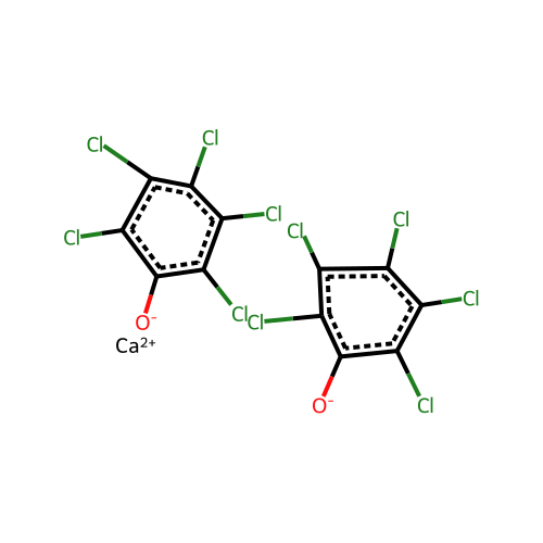 [Ca+2].[O-]c1c(Cl)c(Cl)c(Cl)c(Cl)c1Cl.[O-]c1c(Cl)c(Cl)c(Cl)c(Cl)c1Cl